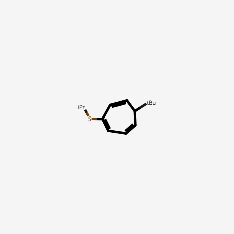 CC(C)SC1=CC=CC(C(C)(C)C)C=C1